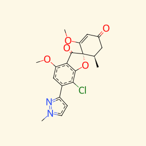 COC1=CC(=O)C[C@@H](C)[C@]12Oc1c(Cl)c(-c3ccn(C)n3)cc(OC)c1C2=O